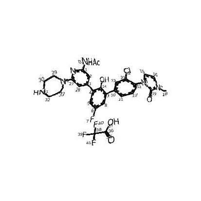 CC(=O)Nc1cc(-c2cc(F)cc(-c3ccc(-n4ccn(C)c4=O)c(Cl)c3)c2O)cc(N2CCNCC2)n1.O=C(O)C(F)(F)F